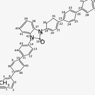 C#C/C=C\C(=C/C)c1ccc(-c2ccc(-n3c(=O)n(C4=CC=C(c5ccc(C6=CC=CCC6)cc5)CC4)c4ccccc43)cc2)cc1